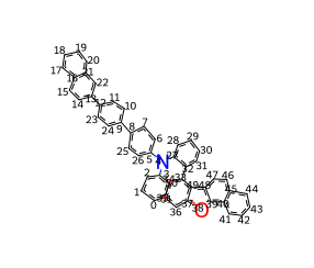 c1ccc(N(c2ccc(-c3ccc(-c4ccc5ccccc5c4)cc3)cc2)c2ccccc2-c2cccc3oc4c5ccccc5ccc4c23)cc1